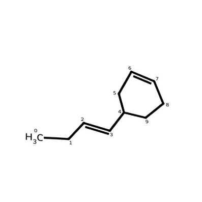 CC/C=C/C1CC=CCC1